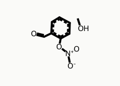 CO.O=Cc1ccccc1O[N+](=O)[O-]